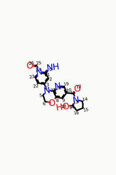 N=c1cc(N2CCOc3cc(C(=O)N4CCC[C@H]4O)cnc32)ccn1C=O